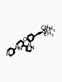 C[Si](C)(C)C#Cc1cccc(-n2nccc2-c2nn(-c3ccncc3)ccc2=O)c1